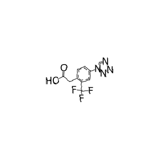 O=C(O)Cc1ccc(-n2cnnn2)cc1C(F)(F)F